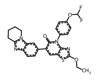 CCOc1nc2c(cc(-c3ccc4nc5n(c4c3)CCCC5)c(=O)n2-c2ccc(OC(F)F)cc2)s1